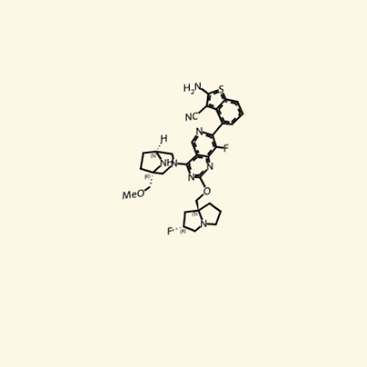 COC[C@@]12CC[C@@H](CN(c3nc(OC[C@@]45CCCN4C[C@H](F)C5)nc4c(F)c(-c5cccc6sc(N)c(C#N)c56)ncc34)C1)N2